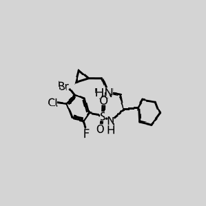 O=S(=O)(N[C@@H](CNCC1CC1)C1CCCCC1)c1cc(Br)c(Cl)cc1F